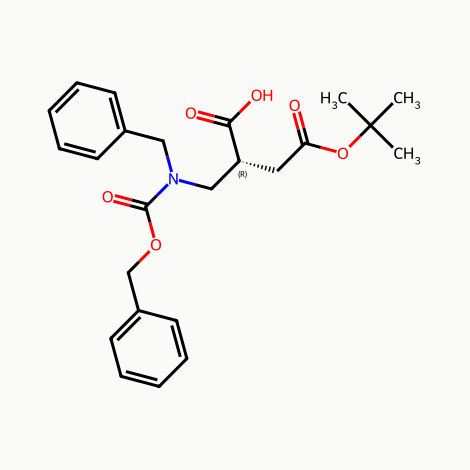 CC(C)(C)OC(=O)C[C@H](CN(Cc1ccccc1)C(=O)OCc1ccccc1)C(=O)O